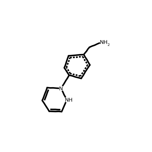 NCc1ccc(N2C=CC=CN2)cc1